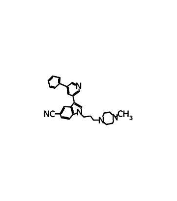 CN1CCN(CCCn2cc(-c3cncc(-c4ccccc4)c3)c3cc(C#N)ccc32)CC1